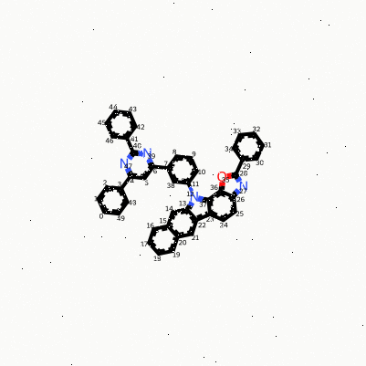 c1ccc(-c2cc(-c3cccc(-n4c5cc6ccccc6cc5c5ccc6nc(-c7ccccc7)oc6c54)c3)nc(-c3ccccc3)n2)cc1